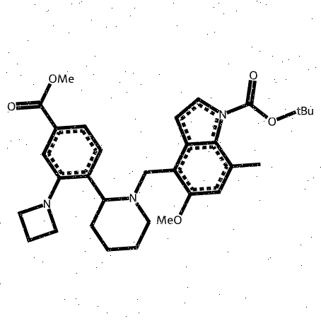 COC(=O)c1ccc(C2CCCCN2Cc2c(OC)cc(C)c3c2ccn3C(=O)OC(C)(C)C)c(N2CCC2)c1